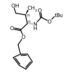 C[C@H](CO)[C@H](NC(=O)OC(C)(C)C)C(=O)OCc1ccccc1